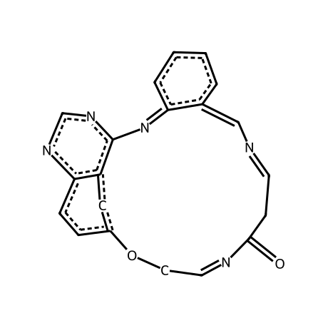 O=C1C/C=N/C=c2/cccc/c2=N\c2ncnc3ccc(cc23)OC/C=N\1